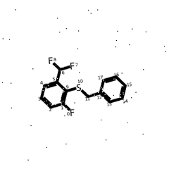 Fc1cccc(C(F)F)c1SCc1ccccc1